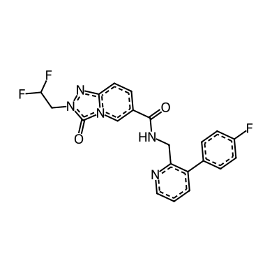 O=C(NCc1ncccc1-c1ccc(F)cc1)c1ccc2nn(CC(F)F)c(=O)n2c1